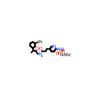 CNS(=O)(=O)Nc1ccc(/C=C/C(=O)N(C)Cc2oc3c(C(C)C)cccc3c2C)cn1